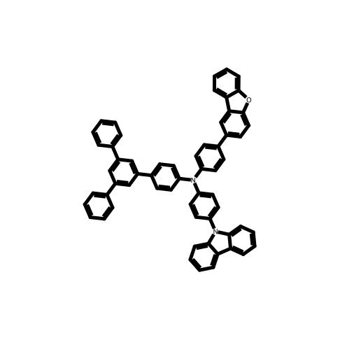 c1ccc(-c2cc(-c3ccccc3)cc(-c3ccc(N(c4ccc(-c5ccc6oc7ccccc7c6c5)cc4)c4ccc(-n5c6ccccc6c6ccccc65)cc4)cc3)c2)cc1